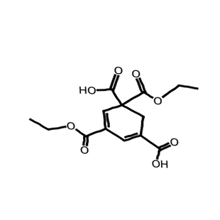 CCOC(=O)C1=CC(C(=O)O)(C(=O)OCC)CC(C(=O)O)=C1